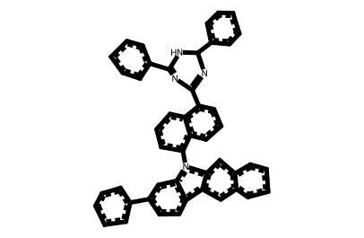 c1ccc(C2=NC(c3cccc4c(-n5c6cc(-c7ccccc7)ccc6c6cc7ccccc7cc65)cccc34)=NC(c3ccccc3)N2)cc1